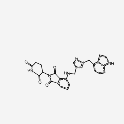 O=C1CCC(N2C(=O)c3cccc(NCc4cnn(Cc5cccc6[nH]ccc56)c4)c3C2=O)C(=O)N1